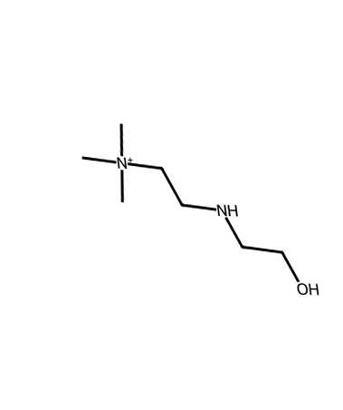 C[N+](C)(C)CCNCCO